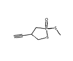 C#CC1CSP(=O)(SC)C1